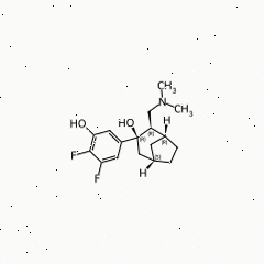 CN(C)C[C@H]1[C@@H]2CC[C@@H](C2)C[C@]1(O)c1cc(O)c(F)c(F)c1